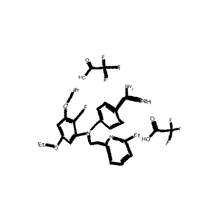 CCOc1cc(OC(C)C)c(F)c(N(Cc2cccc(CC)n2)c2ccc(C(=N)N)cc2)c1.O=C(O)C(F)(F)F.O=C(O)C(F)(F)F